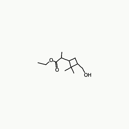 CCOC(=O)C(C)C1CC(CO)C1(C)C